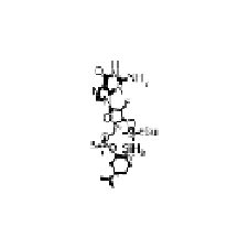 C=C(C)[C@@H]1CC[C@](C)([SiH3])[C@@H](OP(C)(=S)OC[C@H]2O[C@@H](n3cnc4c(=O)[nH]c(N)nc43)C(F)C2O[Si](C)(C)C(C)(C)C)C1